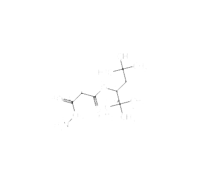 CC(C)(C)CC(OC(=O)CC(=O)ON)C(C)(C)C